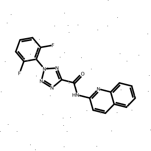 O=C(Nc1ccc2ccccc2n1)c1nnn(-c2c(F)cccc2F)n1